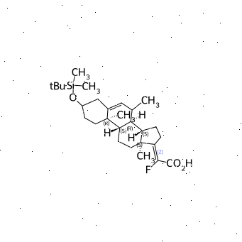 CC1C=C2CC(O[Si](C)(C)C(C)(C)C)CC[C@]2(C)[C@H]2CC[C@]3(C)/C(=C(\F)C(=O)O)CC[C@H]3[C@H]12